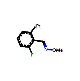 CON=Cc1c(F)cccc1C(C)C